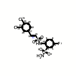 NS(=O)(=O)c1cc(F)ccc1NS(=O)(=O)/C=C/c1ccc(Cl)c(Cl)c1